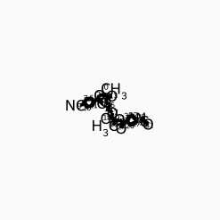 CC(OC(=O)c1ccc(C#N)cc1)C(=O)OCCOC(=O)C(C)OC(=O)c1ccc(N=C=O)cc1